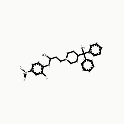 CC(CCN1CCC(C(O)(c2ccccc2)c2ccccc2)CC1)Oc1ccc([N+](=O)[O-])cc1F